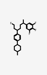 CC1CCC(c2ccc(C(CCF)CCC(C)c3cc(F)c(F)c(F)c3)cc2)CC1